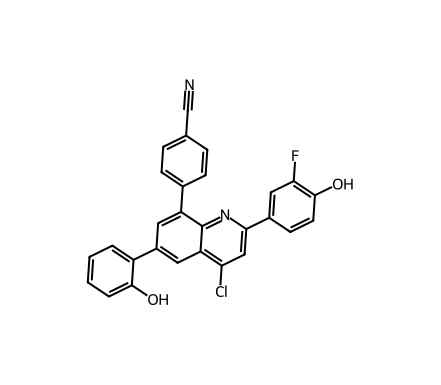 N#Cc1ccc(-c2cc(-c3ccccc3O)cc3c(Cl)cc(-c4ccc(O)c(F)c4)nc23)cc1